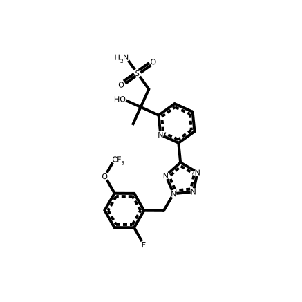 CC(O)(CS(N)(=O)=O)c1cccc(-c2nnn(Cc3cc(OC(F)(F)F)ccc3F)n2)n1